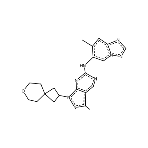 Cc1cc2ncnn2cc1Nc1ncc2c(C)nn(C3CC4(CCOCC4)C3)c2n1